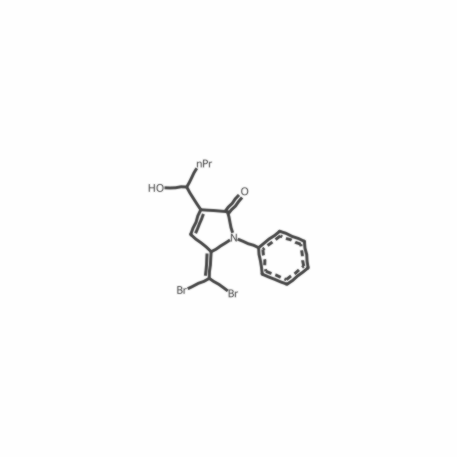 CCCC(O)C1=CC(=C(Br)Br)N(c2ccccc2)C1=O